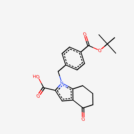 CC(C)(C)OC(=O)c1ccc(Cn2c(C(=O)O)cc3c2CCCC3=O)cc1